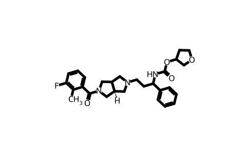 Cc1c(F)cccc1C(=O)N1CC2CN(CCC(NC(=O)OC3CCOC3)c3ccccc3)C[C@H]2C1